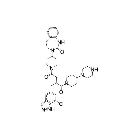 O=C(CC(Cc1cc(Cl)c2[nH]ncc2c1)C(=O)N1CCC(N2CCNCC2)CC1)N1CCC(N2CCc3ccccc3NC2=O)CC1